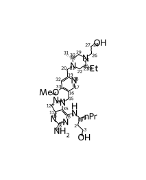 CCC[C@@H](CCO)Nc1nc(N)nc2cnn(Cc3cnc(CN4C[C@@H](CC)N(CCO)C[C@H]4C)cc3OC)c12